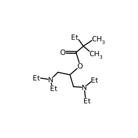 CCN(CC)CC(CN(CC)CC)OC(=O)C(C)(C)CC